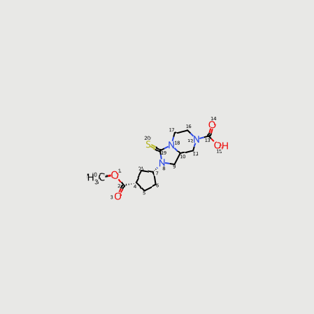 COC(=O)[C@H]1CC[C@@H](N2CC3CN(C(=O)O)CCN3C2=S)C1